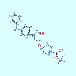 CC(C)(C)OC(=O)N1CCC(OCCC(CO)c2cc[n+](Cc3ccccc3)cc2)CC1